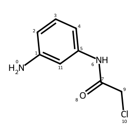 Nc1cccc(NC(=O)CCl)c1